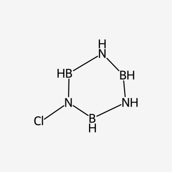 ClN1BNBNB1